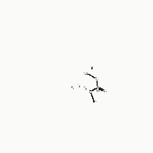 CCO[PH](=O)OCC.[Ti].[Ti].[Ti].[Ti]